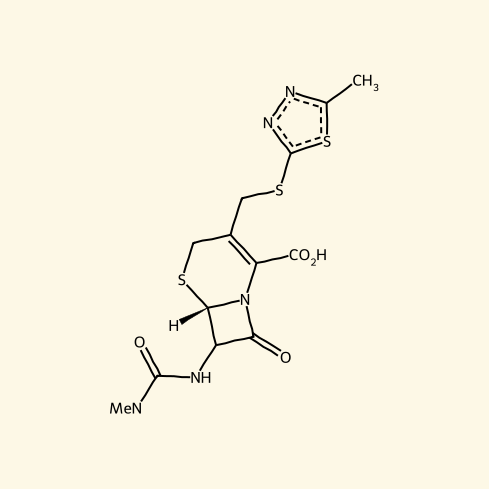 CNC(=O)NC1C(=O)N2C(C(=O)O)=C(CSc3nnc(C)s3)CS[C@@H]12